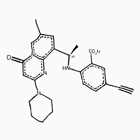 C#Cc1ccc(N[C@H](C)c2cc(C)cn3c(=O)cc(N4CCCCC4)nc23)c(C(=O)O)c1